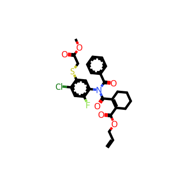 C=CCOC(=O)C1=C(C(=O)N(C(=O)c2ccccc2)c2cc(SCC(=O)OC)c(Cl)cc2F)CCCC1